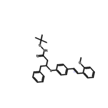 COc1ccccc1/C=C/c1ccc(SC(CC(=O)NOC(C)(C)C)Cc2ccccc2)cc1